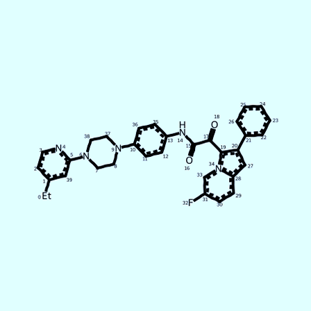 CCc1ccnc(N2CCN(c3ccc(NC(=O)C(=O)c4c(-c5ccccc5)cc5ccc(F)cn45)cc3)CC2)c1